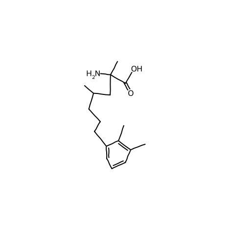 Cc1cccc(CCCC(C)CC(C)(N)C(=O)O)c1C